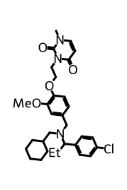 CCC(c1ccc(Cl)cc1)N(Cc1ccc(OCCn2c(=O)ccn(C)c2=O)c(OC)c1)CC1CCCCC1